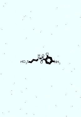 Nc1ccc(S(=O)(=O)NCCCS(=O)(=O)O)c(Cl)c1